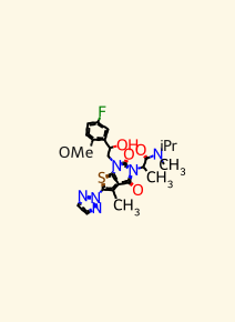 COc1ccc(F)cc1C(O)Cn1c(=O)n(C(C)C(=O)N(C)C(C)C)c(=O)c2c(C)c(-n3nccn3)sc21